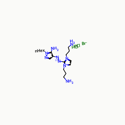 CCCCCCn1ncc(/N=N/c2n(CCCN)cc[n+]2CCCN)c1N.Cl.Cl.[Br-]